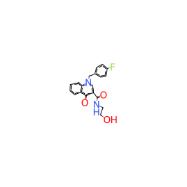 O=C(NCCO)c1cn(Cc2ccc(F)cc2)c2ccccc2c1=O